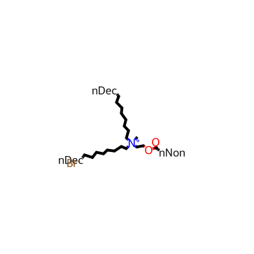 CCCCCCCCCCCCCCCCCC[N+](C)(CCCCCCCCCCCCCCCCCC)CCOC(=O)CCCCCCCCC.[Br-]